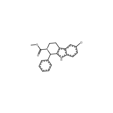 COC(=O)N1CCc2c([nH]c3ccc(Cl)cc23)C1c1ccccc1